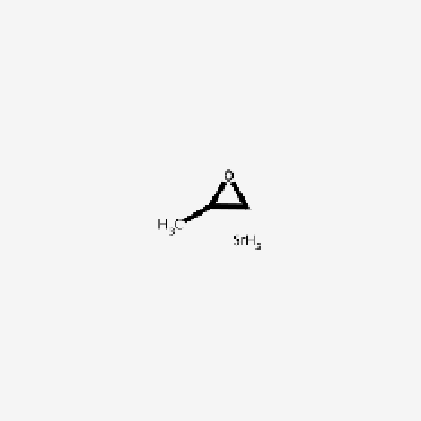 CC1CO1.[SrH2]